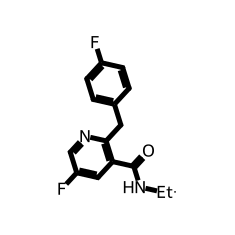 C[CH]NC(=O)c1cc(F)cnc1Cc1ccc(F)cc1